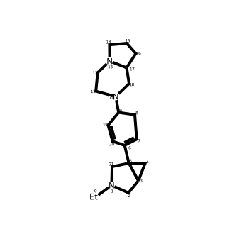 CCN1CC2CC2(C2=CCC(N3CCN4CCCC4C3)C=C2)C1